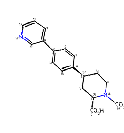 O=C(O)[C@H]1C[C@@H](c2ccc(-c3cccnc3)cc2)CCN1C(=O)O